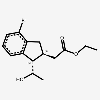 CCOC(=O)C[C@@H]1Cc2c(Br)cccc2[C@H]1C(C)O